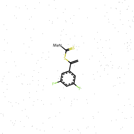 C=C(SC(=S)NC)c1cc(F)cc(F)c1